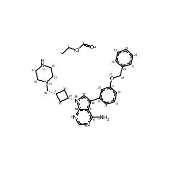 CCOC=O.Nc1ncnc2c1c(-c1cccc(OCc3ccccc3)c1)cn2[C@H]1C[C@@H](CN2CCNCC2)C1